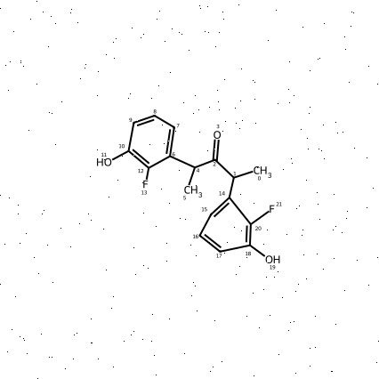 CC(C(=O)C(C)c1cccc(O)c1F)c1cccc(O)c1F